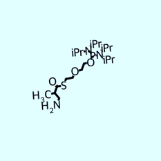 CC(CN)C(=O)SCCOCCOP(N(C(C)C)C(C)C)N(C(C)C)C(C)C